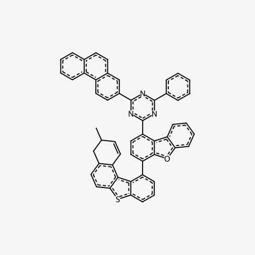 CC1C=Cc2c(ccc3sc4cccc(-c5ccc(-c6nc(-c7ccccc7)nc(-c7ccc8c(ccc9ccccc98)c7)n6)c6c5oc5ccccc56)c4c23)C1